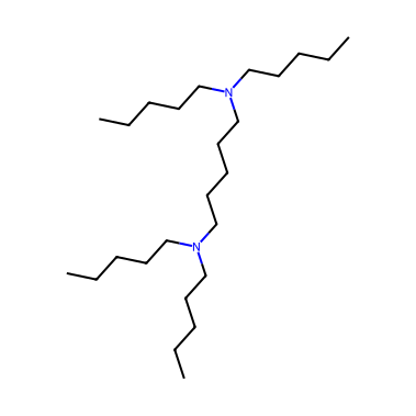 CCCCCN(CCCCC)CCCCCN(CCCCC)CCCCC